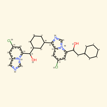 OC(CC1CCCCC1)c1cc(Cl)cc2c(C3CCCC(C(O)c4cc(Cl)cc5cncn45)C3)ncn12